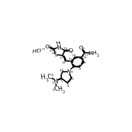 CN(C)C1CCN(c2ccc(C(N)=O)cc2C=C2SC(=O)NC2=O)C1.Cl